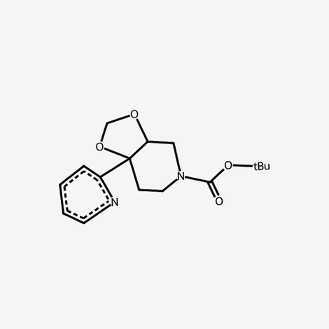 CC(C)(C)OC(=O)N1CCC2(c3ccccn3)OCOC2C1